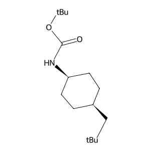 CC(C)(C)C[C@H]1CC[C@@H](NC(=O)OC(C)(C)C)CC1